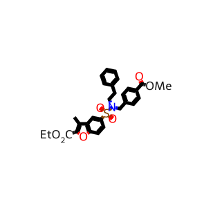 CCOC(=O)c1oc2ccc(S(=O)(=O)N(CCc3ccccc3)Cc3ccc(C(=O)OC)cc3)cc2c1C